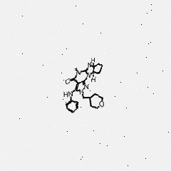 CN1C(=O)c2c(nn(CC3CCOCC3)c2Nc2ccccc2)N2C1=N[C@@H]1CCC[C@@H]12